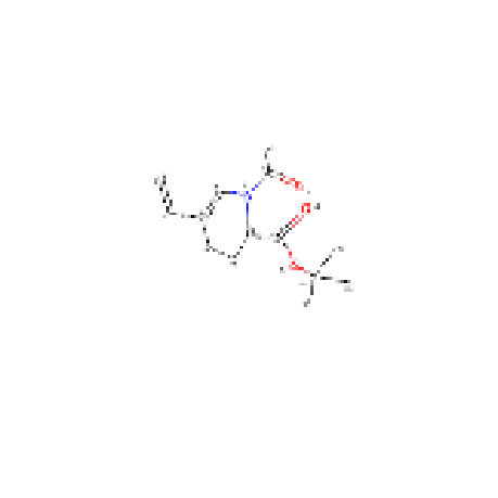 C=CC1=CN(C(C)=O)C(C(=O)OC(C)(C)C)CC1